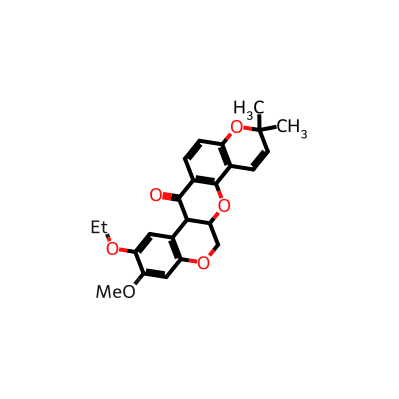 CCOc1cc2c(cc1OC)OCC1Oc3c(ccc4c3C=CC(C)(C)O4)C(=O)C21